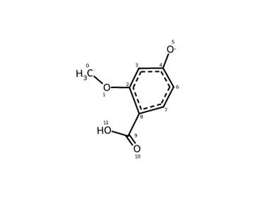 COc1cc([O])ccc1C(=O)O